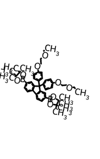 CCOCCOc1ccc(C2(c3ccc(OCCOCC)cc3)c3cc(B4OC(C)(C)C(C)(C)O4)ccc3-c3ccc(B4OC(C)(C)C(C)(C)O4)cc32)cc1